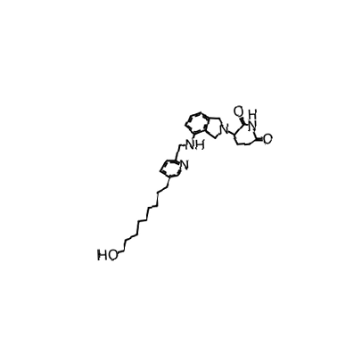 O=C1CCC(N2Cc3cccc(NCc4ccc(CCCCCCCCCO)cn4)c3C2)C(=O)N1